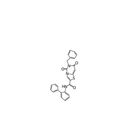 O=C(Nc1ccccc1-c1ccccc1)c1cn2c(=O)n(Cc3ccccc3)c(=O)cc2s1